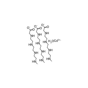 CNCCNCCNCCNCC(=O)[O-].CNCCNCCNCCNCC(=O)[O-].CNCCNCCNCCNCC(=O)[O-].O.[Gd+3]